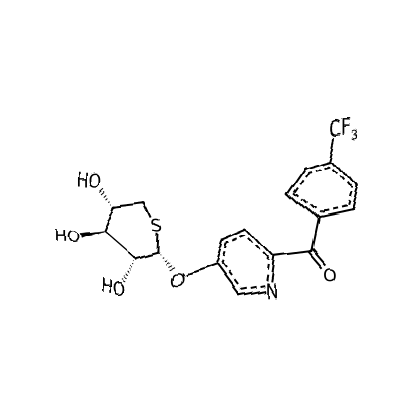 O=C(c1ccc(C(F)(F)F)cc1)c1ccc(O[C@H]2SC[C@@H](O)[C@H](O)[C@H]2O)cn1